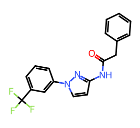 O=C(Cc1ccccc1)Nc1ccn(-c2cccc(C(F)(F)F)c2)n1